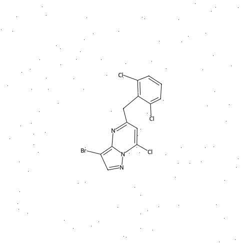 Clc1cccc(Cl)c1Cc1cc(Cl)n2ncc(Br)c2n1